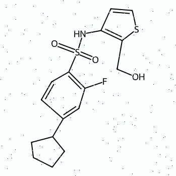 O=S(=O)(Nc1ccsc1CO)c1ccc(C2CCCC2)cc1F